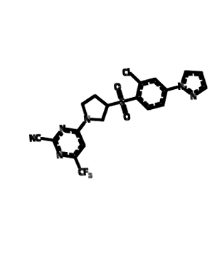 N#Cc1nc(N2CCC(S(=O)(=O)c3ccc(-n4cccn4)cc3Cl)C2)cc(C(F)(F)F)n1